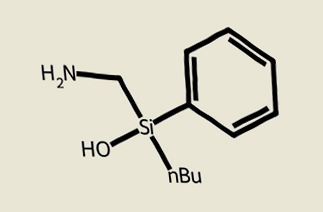 CCCC[Si](O)(CN)c1ccccc1